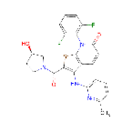 Cc1cccc(Nc2c(C(=O)N3CC[C@@H](O)C3)sc3c2ccc(=O)n3-c2c(F)cccc2F)n1